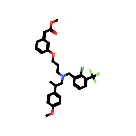 COC(=O)C=C1C=C(OCCCN(Cc2cccc(C(F)(F)F)c2Cl)CC(C)c2ccc(OC)cc2)C=CC1